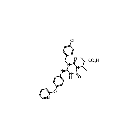 C[C@H](C(=O)O)[C@@H](C)n1c(=O)[nH]/c(=N\c2ccc(Oc3ccccn3)cc2)n(Cc2ccc(Cl)cc2)c1=O